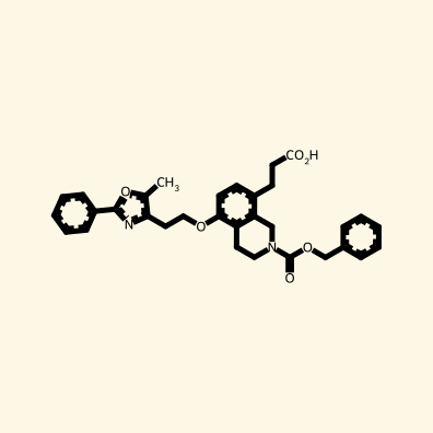 Cc1oc(-c2ccccc2)nc1CCOc1ccc(CCC(=O)O)c2c1CCN(C(=O)OCc1ccccc1)C2